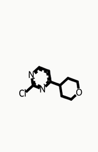 Clc1nccc(C2CCOCC2)n1